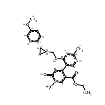 CCOC(=O)c1cn(C)c(=O)cc1-c1cnc(C)nc1OC[C@H]1C[C@@H]1c1ccc(OC)cn1